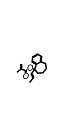 C=C(C)C(=O)OC1(/C=C/C)CCCCc2ccccc21